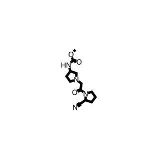 COC(=O)NC1CCN(CC(=O)N2CCCC2C#N)C1